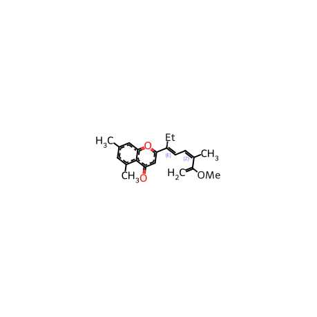 C=C(OC)/C(C)=C\C=C(/CC)c1cc(=O)c2c(C)cc(C)cc2o1